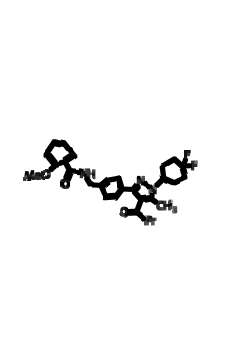 COc1ccccc1C(=O)NCc1ccc(-c2nn(C3CCC(F)(F)CC3)c(C)c2C(=O)C(C)C)cc1